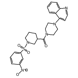 O=C(C1CCCN(S(=O)(=O)c2cccc([N+](=O)[O-])c2)C1)N1CCN(c2ccnc3ccccc23)CC1